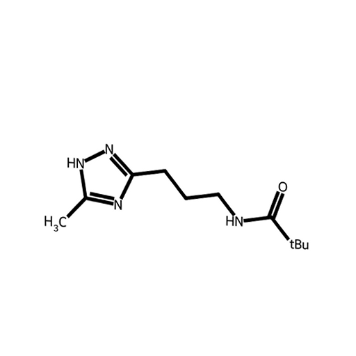 Cc1nc(CCCNC(=O)C(C)(C)C)n[nH]1